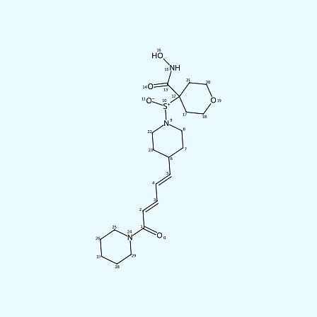 O=C(/C=C/C=C/C1CCN([S+]([O-])C2(C(=O)NO)CCOCC2)CC1)N1CCCCC1